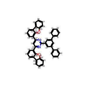 c1ccc(-c2cc(-c3ccccc3)cc(-c3nc(-c4cccc5c4oc4ccccc45)cc(-c4cccc5c4oc4ccccc45)n3)c2)cc1